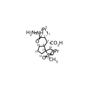 CC(C)C[C@@H](C(=O)NN)[C@H](C(=O)O)C1CCCC1(CC(C)C)S(C)(=O)=O